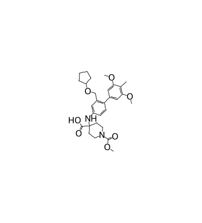 COC(=O)N1CCC(Nc2ccc(-c3cc(OC)c(C)c(OC)c3)c(COC3CCCC3)c2)(C(=O)O)CC1